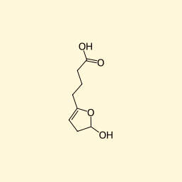 O=C(O)CCCC1=CCC(O)O1